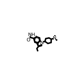 CCc1cn(C2CCC(N(C)C)CC2)c2ccc(C(N)=O)cc12